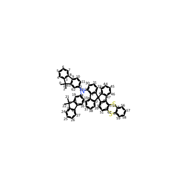 CC1(C)c2ccccc2-c2ccc(N(c3ccc4c(c3)C(C)(C)c3ccccc3-4)c3cccc4c3-c3ccccc3C43c4ccccc4-c4c3ccc3c4Sc4ccccc4S3)cc21